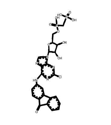 O=C1c2ccccc2-c2cc(Nc3nc(Cl)nc4c3ncn4C3OC(COP(=O)(O)CP(=O)(O)O)C(O)C3O)ccc21